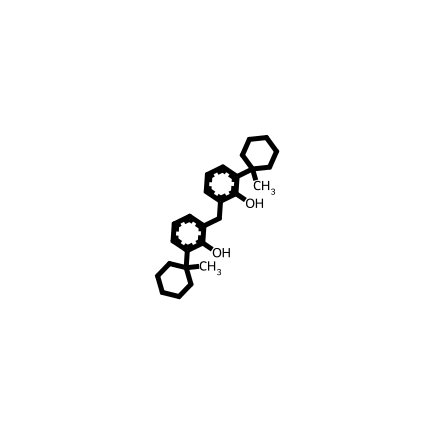 CC1(c2cccc(Cc3cccc(C4(C)CCCCC4)c3O)c2O)CCCCC1